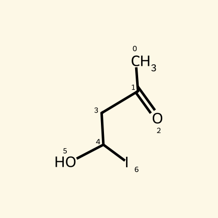 CC(=O)CC(O)I